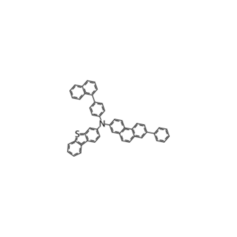 c1ccc(-c2ccc3c(ccc4cc(N(c5ccc(-c6cccc7ccccc67)cc5)c5ccc6c(c5)sc5ccccc56)ccc43)c2)cc1